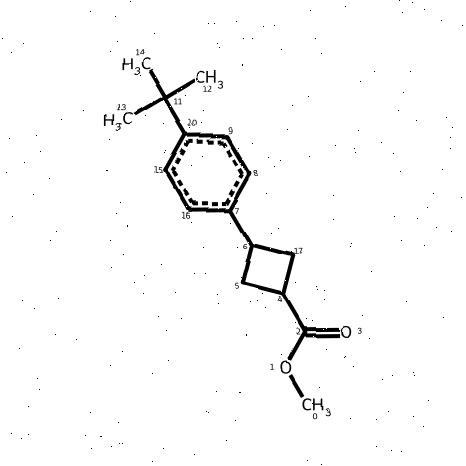 COC(=O)C1CC(c2ccc(C(C)(C)C)cc2)C1